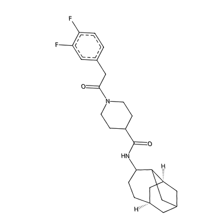 O=C(NC1CC[C@@H]2CC3CC1[C@@H](C3)C2)C1CCN(C(=O)Cc2ccc(F)c(F)c2)CC1